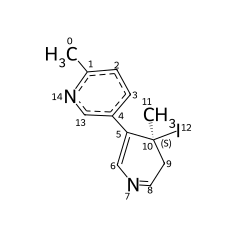 Cc1ccc(C2=CN=CC[C@]2(C)I)cn1